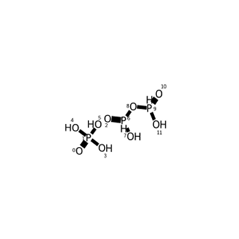 O=P(O)(O)O.O=[PH](O)O[PH](=O)O